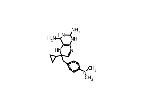 CN(C)c1ccc(CC2(C3CC3)C=NC3=C(N2)C(N)NC(N)N3)cc1